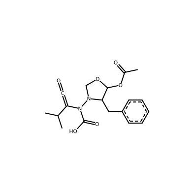 CC(=O)OC1OCN(N(C(=O)O)C(=C=O)C(C)C)C1Cc1ccccc1